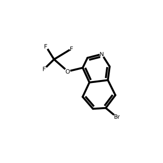 FC(F)(F)Oc1cncc2cc(Br)ccc12